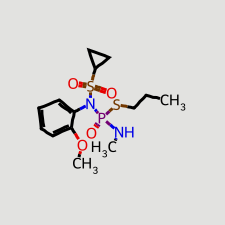 CCCSP(=O)(NC)N(c1ccccc1OC)S(=O)(=O)C1CC1